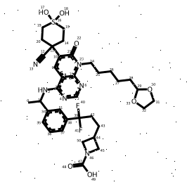 CC(Nc1ncnc2c1cc(C1(C#N)CCS(O)(O)CC1)c(=O)n2CCCCCC1OCCO1)c1cccc(C(F)(F)CCC2CN(C(=O)O)C2)c1